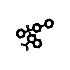 O=P(c1ccccc1)(c1ccc(-c2ccccc2)cc1)c1cc(C(F)F)c2ccccc2n1